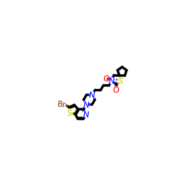 O=C1SC2(CCCC2)C[N+]1([O-])CCCCN1CCN(c2nccc3sc(Br)cc23)CC1